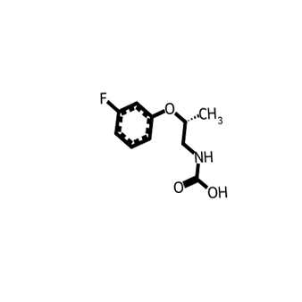 C[C@H](CNC(=O)O)Oc1cccc(F)c1